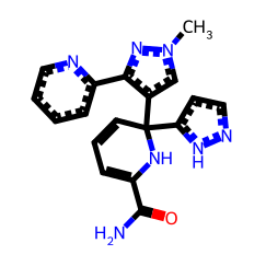 Cn1cc(C2(c3ccn[nH]3)C=CC=C(C(N)=O)N2)c(-c2ccccn2)n1